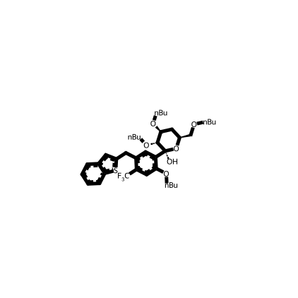 CCCCOC[C@@H]1C[C@H](OCCCC)[C@@H](OCCCC)[C@](O)(c2cc(Cc3cc4ccccc4s3)c(C(F)(F)F)cc2OCCCC)O1